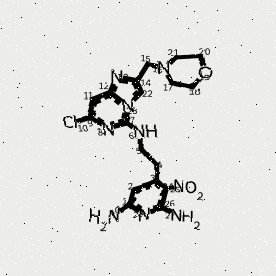 Nc1cc(CCNc2nc(Cl)cc3nc(CN4CCOCC4)cn23)c([N+](=O)[O-])c(N)n1